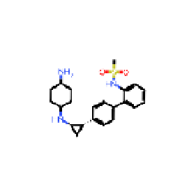 CS(=O)(=O)Nc1ccccc1-c1ccc([C@@H]2C[C@H]2NC2CCC(N)CC2)cc1